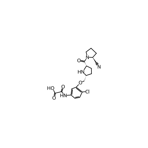 N#C[C@@H]1CCCN1C(=O)[C@@H]1CC[C@H](COc2cc(NC(=O)C(=O)O)ccc2Cl)N1